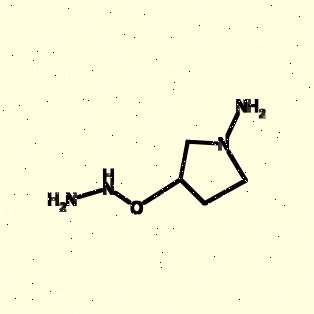 NNOC1CCN(N)C1